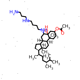 CC(=O)OC1CC[C@]2(C)[C@H]3CC[C@]4(C)[C@@H]([C@H](C)CC[C@@H](C)C(C)C)CC[C@H]4[C@@H]3CC(NCCCCNCCCN)C2(O)C1